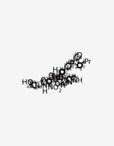 CC(C)c1ccccc1[C@@H]1COCCN1C1CC2(CCN(c3ccc(C(=O)NS(=O)(=O)c4cc5c(c([N+](=O)[O-])c4)N[C@H](CN4CCC(C)(O)CC4)CO5)c(N4c5cc6cc[nH]c6nc5O[C@H]5COCC[C@@H]54)c3)CC2)C1